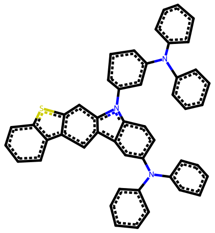 c1ccc(N(c2ccccc2)c2cccc(-n3c4ccc(N(c5ccccc5)c5ccccc5)cc4c4cc5c(cc43)sc3ccccc35)c2)cc1